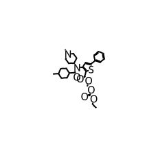 CCOC(=O)OCOC(=O)c1sc(-c2ccccc2)cc1N(C(=O)C1CCC(C)CC1)C1CCN(C)CC1